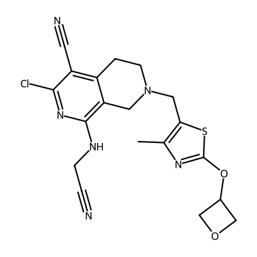 Cc1nc(OC2COC2)sc1CN1CCc2c(C#N)c(Cl)nc(NCC#N)c2C1